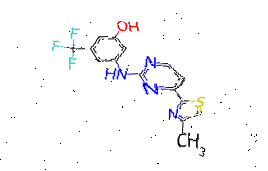 Cc1csc(-c2ccnc(Nc3cc(O)cc(C(F)(F)F)c3)n2)n1